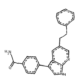 NC(=O)c1ccc(-c2c[nH]c3ncc(CCc4ccccc4)cc23)cc1